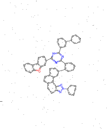 c1ccc(-c2cccc(-c3nc(-c4ccc5c(c4)oc4ccccc45)nc(-c4ccccc4-c4ccc5ccc6ccc7nn(-c8ccccc8)nc7c6c5c4)n3)c2)cc1